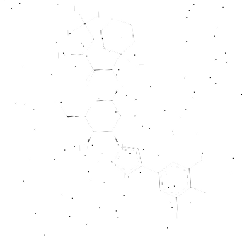 CN(CC(F)(F)F)C(=O)C(S[C@@H]1O[C@H](CO)[C@H](O)[C@H](n2cc(-c3cc(F)c(F)c(F)c3)nn2)[C@H]1O)C1(O)CCOCC1